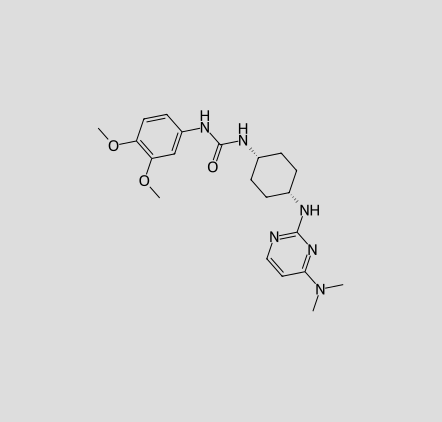 COc1ccc(NC(=O)N[C@H]2CC[C@@H](Nc3nccc(N(C)C)n3)CC2)cc1OC